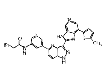 Cc1ccc(-c2cncc3[nH]c(-c4n[nH]c5ccc(-c6cncc(NC(=O)CC(C)C)c6)nc45)nc23)s1